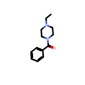 CCN1CCN(C(=O)c2cc[c]cc2)CC1